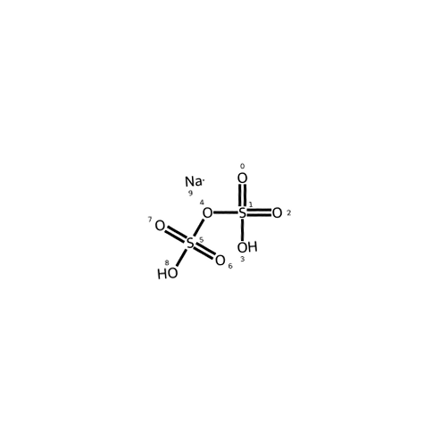 O=S(=O)(O)OS(=O)(=O)O.[Na]